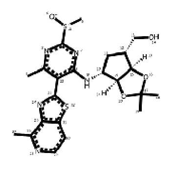 Cc1nc([S+](C)[O-])nc(N[C@@H]2C[C@H](CO)[C@H]3OC(C)(C)O[C@H]32)c1-c1nc2c(C)nccc2s1